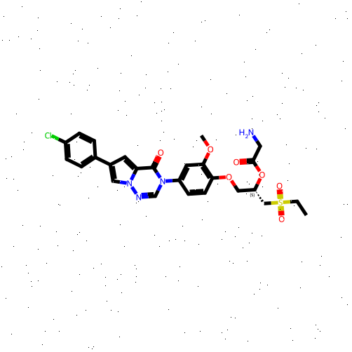 CCS(=O)(=O)C[C@H](COc1ccc(-n2cnn3cc(-c4ccc(Cl)cc4)cc3c2=O)cc1OC)OC(=O)CN